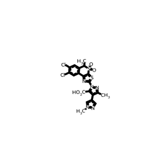 Cc1nn(-c2nc3c(s2)S(=O)(=O)C(C)c2cc(Cl)c(Cl)cc2-3)c(C(=O)O)c1-c1cnn(C)c1